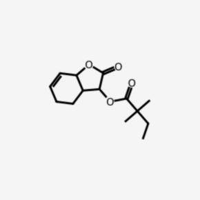 CCC(C)(C)C(=O)OC1C(=O)OC2C=CCCC21